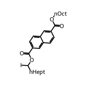 CCCCCCCCOC(=O)c1ccc2cc(C(=O)OC(I)CCCCCCC)ccc2c1